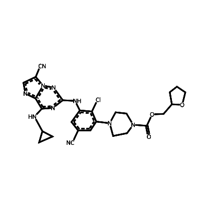 N#Cc1cc(Nc2nc(NC3CC3)c3ncc(C#N)n3n2)c(Cl)c(N2CCN(C(=O)OCC3CCCO3)CC2)c1